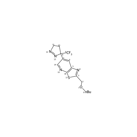 CCCCOCc1nc2cc(C3(C(F)(F)F)CCN=N3)cnc2s1